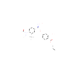 C=CCOC(=O)c1ccc(OC/C(=N\O)c2ccc(N(CC)C(C)=O)c(C(C)(C)C)c2)cc1O